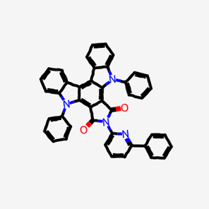 O=C1c2c(c3c(c4ccccc4n3-c3ccccc3)c3c4ccccc4n(-c4ccccc4)c23)C(=O)N1c1cccc(-c2ccccc2)n1